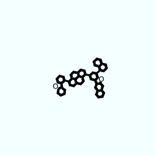 c1ccc2cc3c(cc2c1)oc1c(-c2cccc4ccccc24)cc(-c2ccc4ccc5c(-c6cccc7oc8ccccc8c67)ccc6ccc2c4c65)cc13